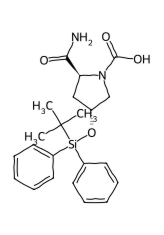 CC(C)(C)[Si](O[C@@H]1C[C@@H](C(N)=O)N(C(=O)O)C1)(c1ccccc1)c1ccccc1